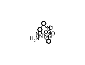 COC(=O)OC1CCCN1Cc1ccccc1-c1ccc2nc(N)nc(C(=O)N3Cc4ccccc4C3)c2c1